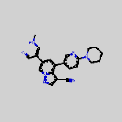 CN/C=C(\C=N)c1cc(-c2ccc(N3CCCCC3)nc2)c2c(C#N)cnn2c1